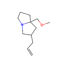 C=CCC1CN2CCCC2(COC)C1